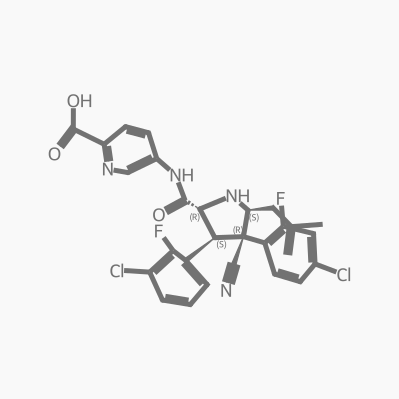 C=C(C)C[C@@H]1N[C@@H](C(=O)Nc2ccc(C(=O)O)nc2)[C@H](c2cccc(Cl)c2F)[C@@]1(C#N)c1ccc(Cl)cc1F